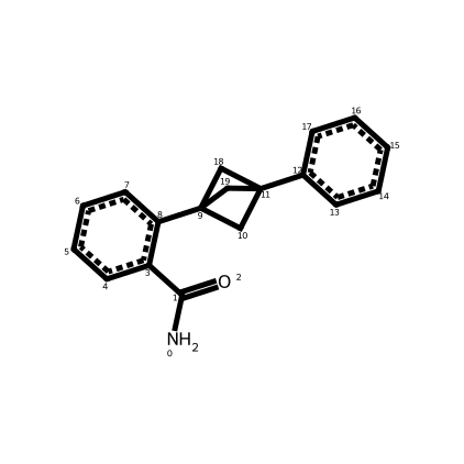 NC(=O)c1ccccc1C12CC(c3ccccc3)(C1)C2